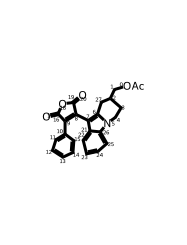 CC(=O)OCC1CCn2c(c(C3=C(c4ccccc4)C(=O)OC3=O)c3ccccc32)C1